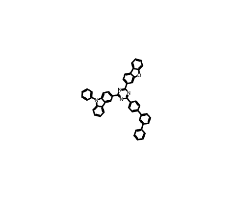 c1ccc(-c2cccc(-c3ccc(-c4nc(-c5ccc6c(c5)oc5ccccc56)nc(-c5ccc6c(c5)c5ccccc5n6-c5ccccc5)n4)cc3)c2)cc1